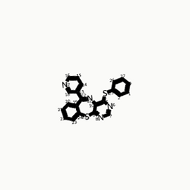 c1ccc(Sc2ncnc3c2N=C(c2cccnc2)c2ccccc2S3)cc1